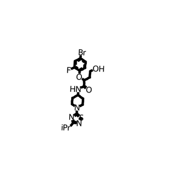 CC(C)c1nsc(N2CCC(NC(=O)C(CCO)Oc3ccc(Br)cc3F)CC2)n1